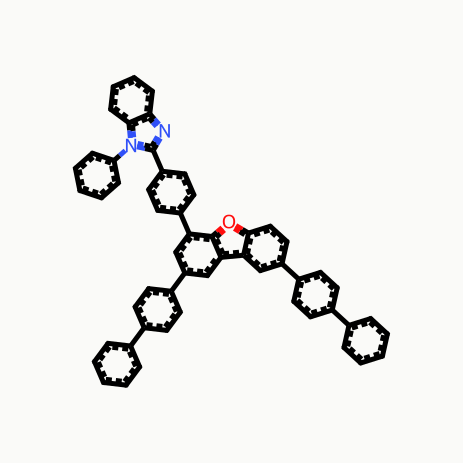 c1ccc(-c2ccc(-c3ccc4oc5c(-c6ccc(-c7nc8ccccc8n7-c7ccccc7)cc6)cc(-c6ccc(-c7ccccc7)cc6)cc5c4c3)cc2)cc1